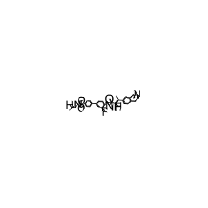 CC(=C(F)C(=O)Nc1ccc(-c2ccc(S(=O)(=O)NCC(C)C)cc2)cc1F)c1ccc2ccncc2c1